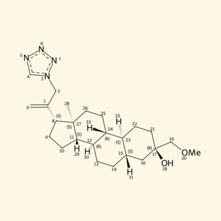 C=C(Cn1cnnn1)[C@H]1CC[C@H]2[C@@H]3CC[C@H]4C[C@@](O)(COC)CC[C@@H]4[C@H]3CC[C@]12C